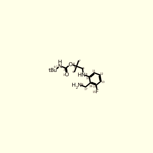 CC(C)(C)NC(=O)OC(C)(C)CNc1cccc(F)c1CN